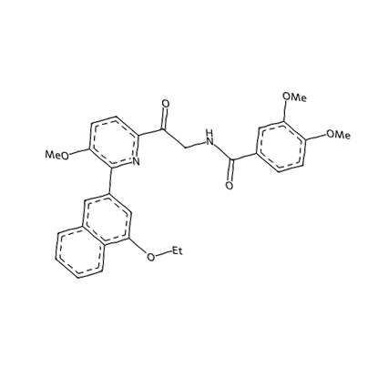 CCOc1cc(-c2nc(C(=O)CNC(=O)c3ccc(OC)c(OC)c3)ccc2OC)cc2ccccc12